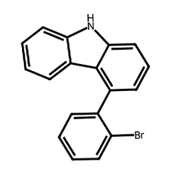 Brc1ccccc1-c1cccc2[nH]c3ccccc3c12